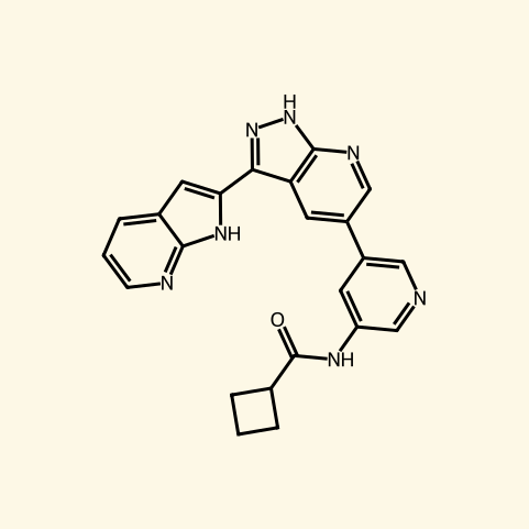 O=C(Nc1cncc(-c2cnc3[nH]nc(-c4cc5cccnc5[nH]4)c3c2)c1)C1CCC1